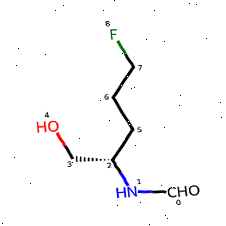 O=CN[C@H](CO)CCCF